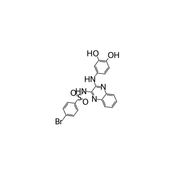 O=S(=O)(Nc1nc2ccccc2nc1Nc1ccc(O)c(O)c1)c1ccc(Br)cc1